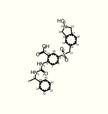 CC(NC(=O)Nc1ccc(S(=O)(=O)Cc2ccc3c(c2)CN(O)C3)cc1C(=O)O)c1ccccc1